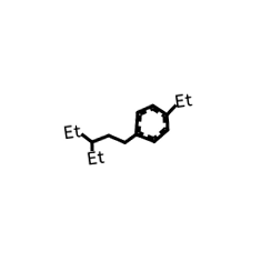 CCc1ccc(CCC(CC)CC)cc1